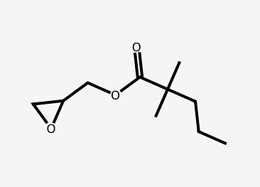 CCCC(C)(C)C(=O)OCC1CO1